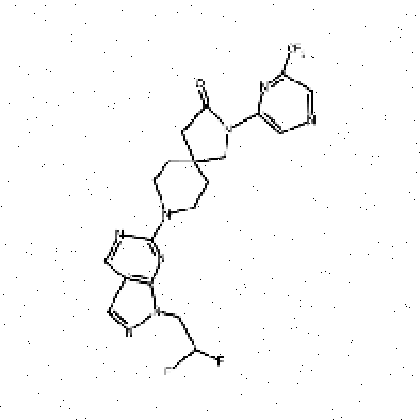 O=C1CC2(CCN(c3ncc4cnn(CC(F)F)c4n3)CC2)CN1c1cncc(C(F)(F)F)n1